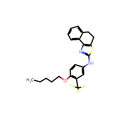 CCCCCOc1ccc(Nc2nc3c(s2)CCc2ccccc2-3)cc1C(F)(F)F